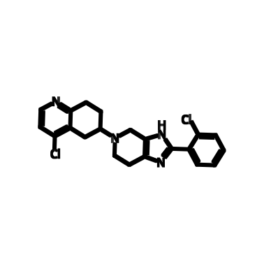 Clc1ccccc1-c1nc2c([nH]1)CN(C1CCc3nccc(Cl)c3C1)CC2